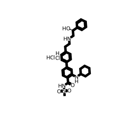 CS(=O)(=O)NC(=O)c1ccc(-c2ccc(CCNC[C@H](O)c3ccccc3)cc2)cc1NC1CCCCC1.Cl.Cl